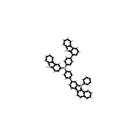 c1ccc(-n2c3cc(-c4ccc(N(c5ccc(-c6cccc7c6sc6ccccc67)cc5)c5ccc6sc7ccccc7c6c5)cc4)ccc3c3ccc4ccccc4c32)cc1